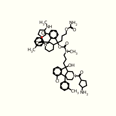 CNC1CCC(C(=O)N2CCCC(C(CCCOC(N)=O)(OC(=O)N(C)CCCC(O)(c3cccc(Cl)c3Cc3cccc(C)c3)C3CCCN(C(=O)C4CCC(N)C4)C3)c3cccc(Cl)c3Cc3cccc(C)c3)C2)C1